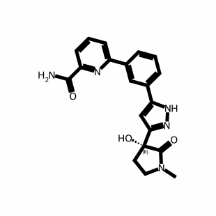 CN1CC[C@@](O)(c2cc(-c3cccc(-c4cccc(C(N)=O)n4)c3)[nH]n2)C1=O